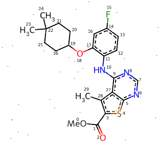 COC(=O)c1sc2ncnc(Nc3ccc(F)cc3OC3CCC(C)(C)CC3)c2c1C